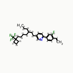 C=Cc1ccc(-c2ccc(CCC(CCC)CCCCC3(C(F)(F)F)CCC3)cn2)cc1F